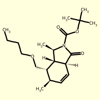 CCCCOC[C@@H]1[C@H]2[C@H](C=C[C@H]1C)C(=O)N(C(=O)OC(C)(C)C)[C@@H]2C